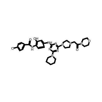 O=C(Nc1ccc(Nc2nc(N3CCCCC3)nc(N3CCN(CC(=O)N4CCOCC4)CC3)n2)cc1O)c1ccc(Cl)cc1